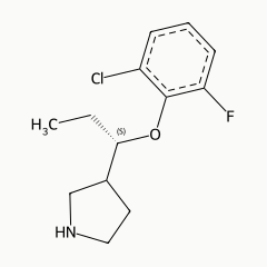 CC[C@H](Oc1c(F)cccc1Cl)C1CCNC1